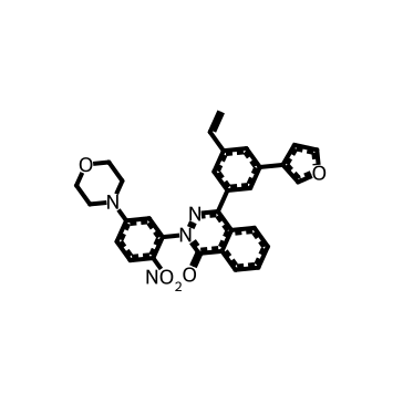 C=Cc1cc(-c2ccoc2)cc(-c2nn(-c3cc(N4CCOCC4)ccc3[N+](=O)[O-])c(=O)c3ccccc23)c1